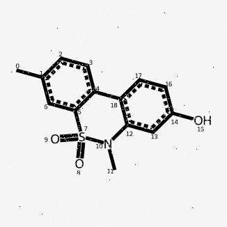 Cc1ccc2c(c1)S(=O)(=O)N(C)c1cc(O)ccc1-2